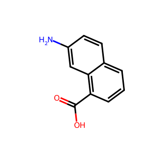 Nc1ccc2cccc(C(=O)O)c2c1